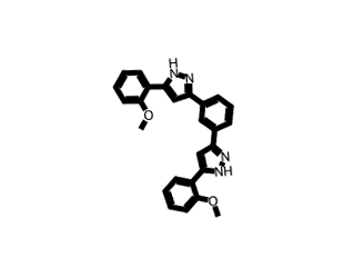 COc1ccccc1-c1cc(-c2cccc(-c3cc(-c4ccccc4OC)[nH]n3)c2)n[nH]1